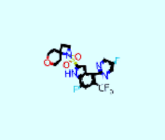 O=S(=O)(c1cc2c(-c3ncc(F)cn3)c(C(F)(F)F)cc(F)c2[nH]1)N1CCC12CCOCC2